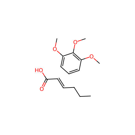 CCCC=CC(=O)O.COc1cccc(OC)c1OC